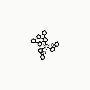 c1ccc(-c2cccc(-c3c(-c4nc(-c5cccc6c5oc5ccccc56)nc(-c5cccc6c5oc5ccccc56)n4)ccc(-c4ccccc4)c3-c3ccccc3)c2)cc1